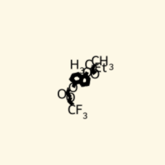 CCC(C)(C)C(=O)Oc1cccc2c(OCC(=O)OCCC(F)(F)F)cccc12